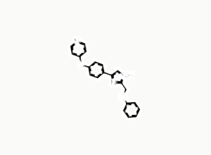 c1ccc(OCc2nc(-c3ccc(Sc4ccncc4)cc3)c[nH]2)cc1